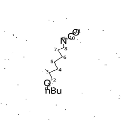 CCCCOCCCCCCCN=C=O